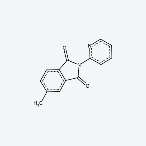 Cc1ccc2c(c1)C(=O)N(c1ccccn1)C2=O